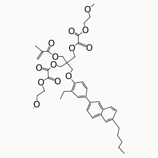 C=C(C)C(=O)OCC(COC(=O)C(=O)OCCOC)(COC(=O)C(=O)OCCOC)COc1ccc(-c2ccc3cc(CCCCC)ccc3c2)cc1CC